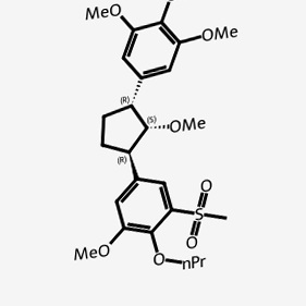 CCCOc1c(OC)cc([C@H]2CC[C@H](c3cc(OC)c(OC)c(OC)c3)[C@@H]2OC)cc1S(C)(=O)=O